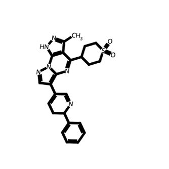 Cc1n[nH]c2c1c(C1CCS(=O)(=O)CC1)nc1c(C3=CCC(c4ccccc4)N=C3)cnn12